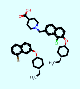 CC[C@H]1CC[C@@H](Oc2ccc3ccc(CN4CCC(C(=O)O)CC4)cc3c2Cl)CC1.CC[C@H]1CC[C@@H](Oc2ccc3cccc(Br)c3c2)CC1